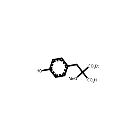 CCOC(=O)C(Cc1ccc(O)cc1)(OC)C(=O)O